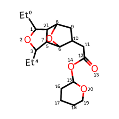 CCC1OC(CC)C2C3OC(CC3CC(=O)OC3CCCCO3)C12